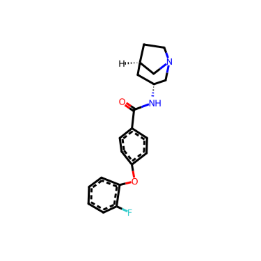 O=C(N[C@@H]1C[C@H]2CCN(C2)C1)c1ccc(Oc2ccccc2F)cc1